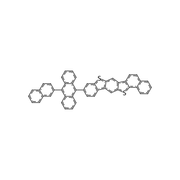 c1ccc2cc(-c3c4ccccc4c(-c4ccc5c(c4)sc4cc6c(cc45)sc4c5ccccc5ccc64)c4ccccc34)ccc2c1